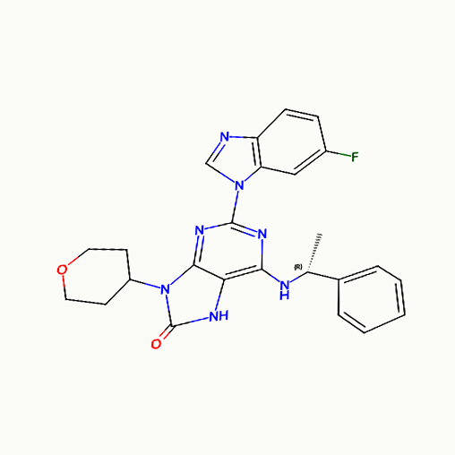 C[C@@H](Nc1nc(-n2cnc3ccc(F)cc32)nc2c1[nH]c(=O)n2C1CCOCC1)c1ccccc1